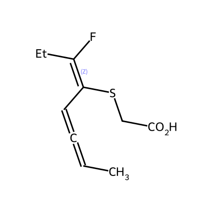 CC=C=C/C(SCC(=O)O)=C(/F)CC